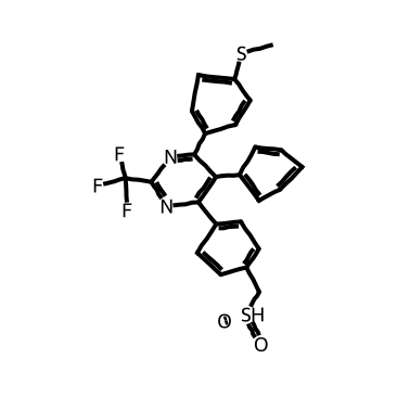 CSc1ccc(-c2nc(C(F)(F)F)nc(-c3ccc(C[SH](=O)=O)cc3)c2-c2ccccc2)cc1